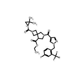 CCOC(=O)C1CN(C(=O)c2cnn(Cc3ccc(F)cc3C(F)(F)F)c2)CC12CN(C(=O)[C@H]1CC1(C)C)C2